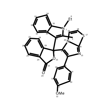 CCn1c(C)c(C2(c3c(-c4ccc(OC)cc4)nc4sccn34)OC(=O)c3ccccc32)c2ccccc21